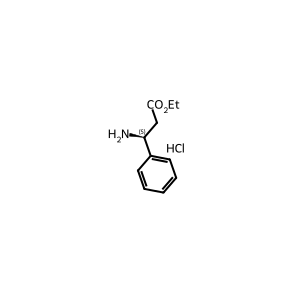 CCOC(=O)C[C@H](N)c1ccccc1.Cl